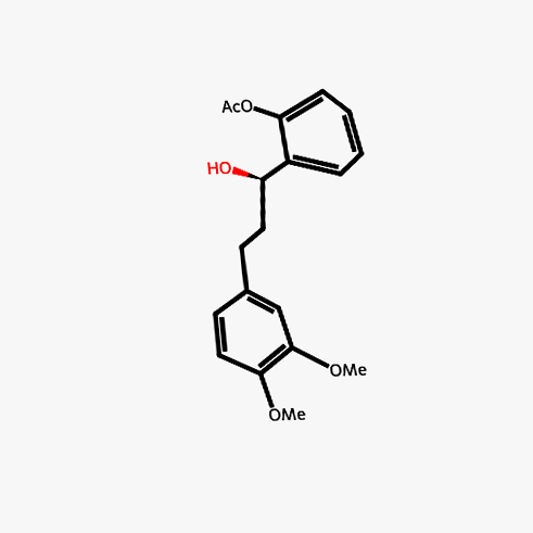 COc1ccc(CC[C@@H](O)c2ccccc2OC(C)=O)cc1OC